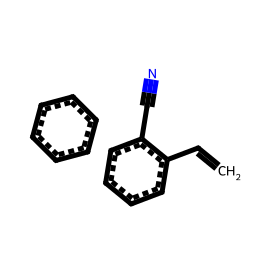 C=Cc1ccccc1C#N.c1ccccc1